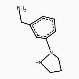 NCc1cccc(N2CCCN2)c1